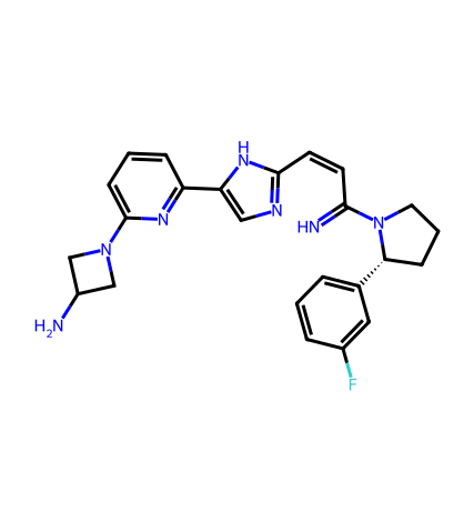 N=C(/C=C\c1ncc(-c2cccc(N3CC(N)C3)n2)[nH]1)N1CCC[C@@H]1c1cccc(F)c1